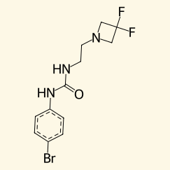 O=C(NCCN1CC(F)(F)C1)Nc1ccc(Br)cc1